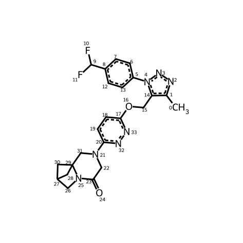 Cc1nnn(-c2ccc(C(F)F)cc2)c1COc1ccc(N2CC(=O)N3CC4CC3(C4)C2)nn1